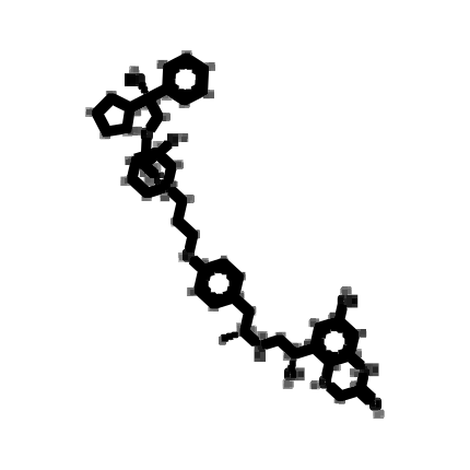 C[C@H](Cc1ccc(OCCC[N+]23CCC(CC2)[C@H](OC[C@](O)(c2ccccc2)C2CCCC2)C3)cc1)NC[C@@H](O)c1cc(O)cc2c1OCC(=O)N2